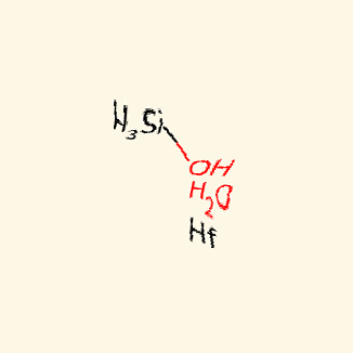 O.O[SiH3].[Hf]